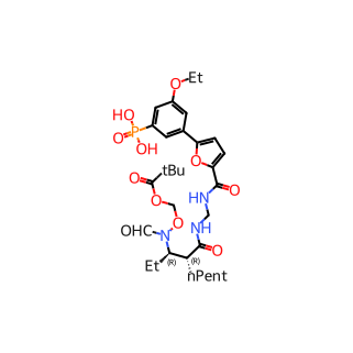 CCCCC[C@@H](C(=O)NCNC(=O)c1ccc(-c2cc(OCC)cc(P(=O)(O)O)c2)o1)[C@@H](CC)N(C=O)OCOC(=O)C(C)(C)C